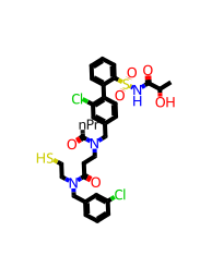 CCCC(=O)N(CCC(=O)N(CCS)Cc1cccc(Cl)c1)Cc1ccc(-c2ccccc2S(=O)(=O)NC(=O)C(C)O)c(Cl)c1